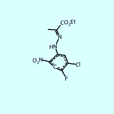 CCOC(=O)C(C)=NNc1cc(Cl)c(F)cc1[N+](=O)[O-]